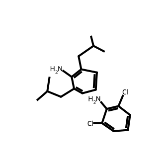 CC(C)Cc1cccc(CC(C)C)c1N.Nc1c(Cl)cccc1Cl